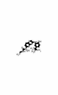 CCNC(=O)N(S)c1ccc2ncc(Nc3cc(C(C)(C)C)ccc3O)nc2n1